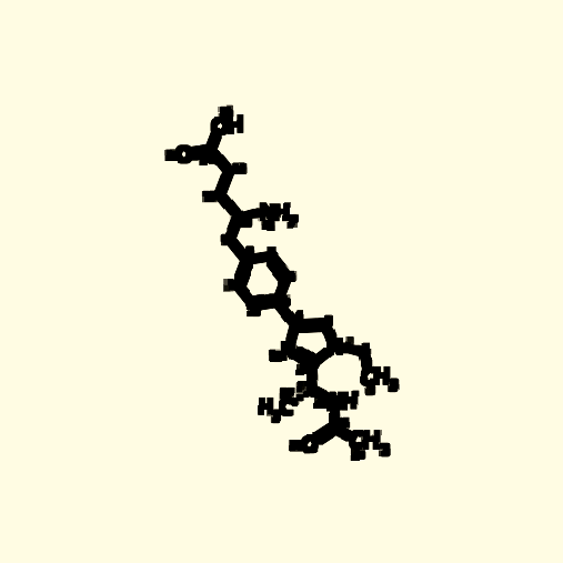 CCn1cc(-c2ccc(C[C@H](N)CCC(=O)O)cc2)nc1[C@@H](C)NC(C)=O